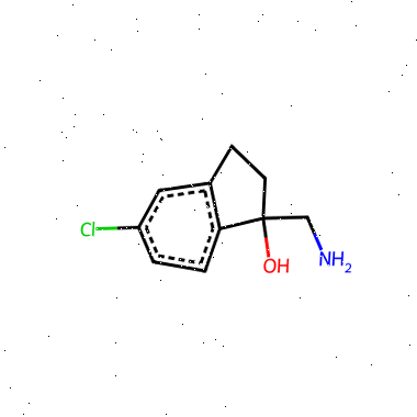 NCC1(O)CCc2cc(Cl)ccc21